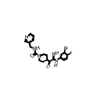 N=C(Nc1ccc(F)c(Br)c1)C(=O)C1CCN(C(=O)NCc2cccnc2)CC1